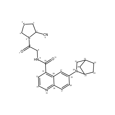 N#CC1CSCN1C(=O)CNC(=O)c1ccnc2ccc(N3CC4CCC3C4)cc12